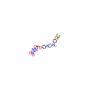 CCN(c1ccc(OC(F)(F)F)cc1)C1CCN(c2ccc(OC[C@@]3(C)Cn4cc([N+](=O)[O-])nc4O3)cc2)CC1